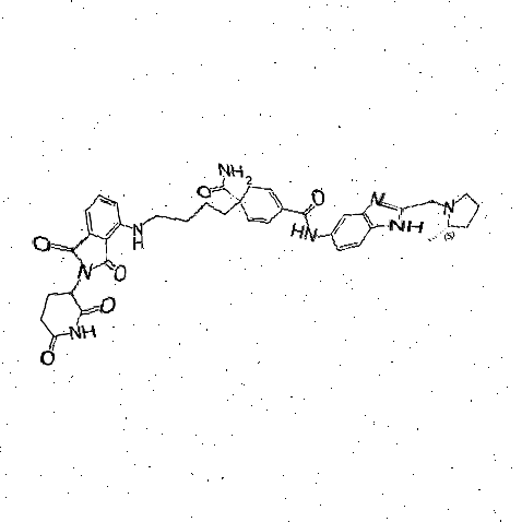 C[C@H]1CCCN1Cc1nc2cc(NC(=O)C3=CCC(CCCCNc4cccc5c4C(=O)N(C4CCC(=O)NC4=O)C5=O)(C(N)=O)C=C3)ccc2[nH]1